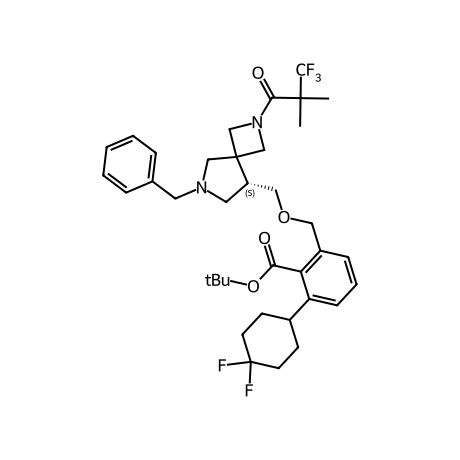 CC(C)(C)OC(=O)c1c(COC[C@@H]2CN(Cc3ccccc3)CC23CN(C(=O)C(C)(C)C(F)(F)F)C3)cccc1C1CCC(F)(F)CC1